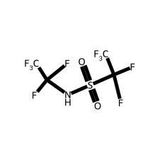 O=S(=O)(NC(F)(F)C(F)(F)F)C(F)(F)C(F)(F)F